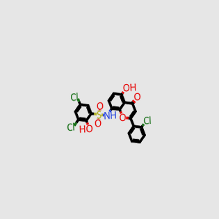 O=c1cc(-c2ccccc2Cl)oc2c(NS(=O)(=O)c3cc(Cl)cc(Cl)c3O)ccc(O)c12